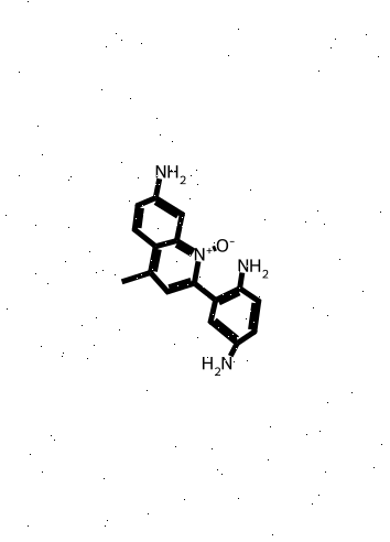 Cc1cc(-c2cc(N)ccc2N)[n+]([O-])c2cc(N)ccc12